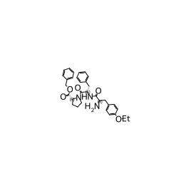 CCOc1ccc(C[C@@H](N)C(=O)N[C@@H](Cc2ccccc2)C(=O)N2CCC[C@@H]2C(=O)OCc2ccccc2)cc1